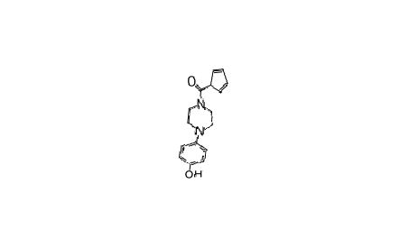 O=C(C1C=CC=C1)N1CCN(c2ccc(O)cc2)CC1